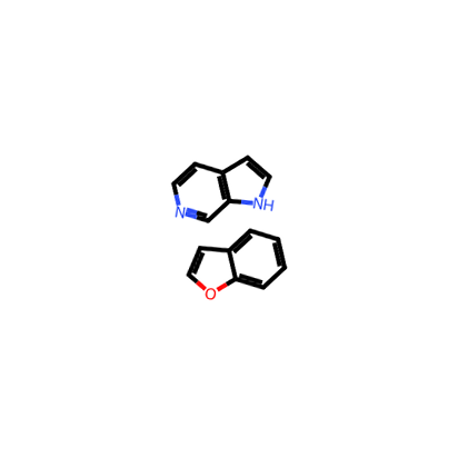 c1cc2cc[nH]c2cn1.c1ccc2occc2c1